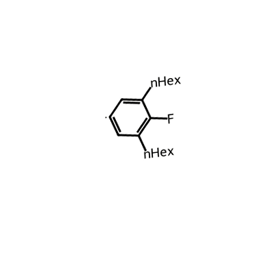 CCCCCCc1c[c]cc(CCCCCC)c1F